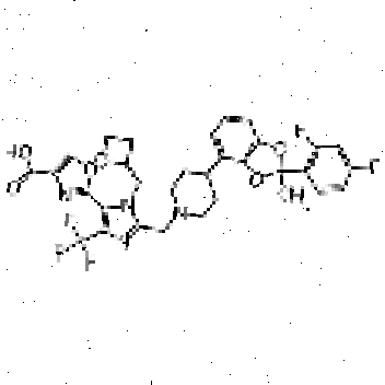 CC1(c2ccc(Cl)cc2F)Oc2cccc(C3CCN(Cc4nc(C(F)(F)F)c(-c5nc(C(=O)O)co5)n4CC4CCO4)CC3)c2O1